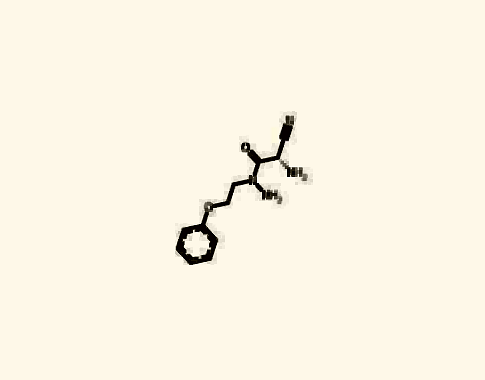 N#C[C@H](N)C(=O)N(N)CCOc1ccccc1